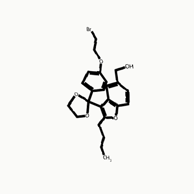 CCCCc1oc2ccc(CO)cc2c1C1(c2ccc(OCCBr)cc2)OCCO1